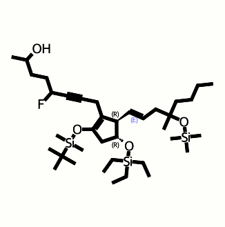 CCCCC(C)(C/C=C/[C@@H]1C(CC#CC(F)CCC(C)O)=C(O[Si](C)(C)C(C)(C)C)C[C@H]1O[Si](CC)(CC)CC)O[Si](C)(C)C